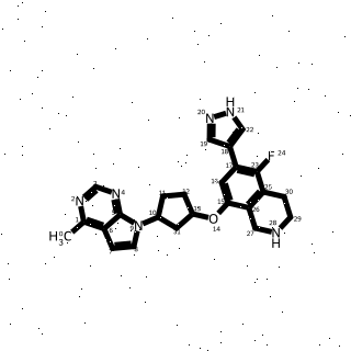 Cc1ncnc2c1ccn2C1CCC(Oc2cc(-c3cn[nH]c3)c(F)c3c2CNCC3)C1